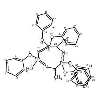 CC1N=P(O)(Oc2ccccc2)N=P(Oc2ccccc2)(Oc2ccccc2)C(C)N=P1(Oc1ccccc1)Oc1ccccc1